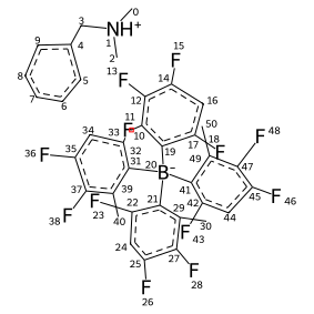 C[NH+](C)Cc1ccccc1.Cc1c(F)c(F)cc(F)c1[B-](c1c(F)cc(F)c(F)c1C)(c1c(F)cc(F)c(F)c1C)c1c(F)cc(F)c(F)c1C